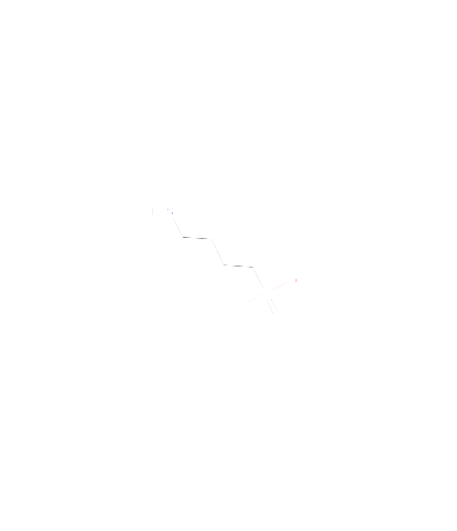 NCCCCP(=O)(O)O